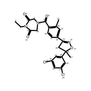 CCN1C(=O)CN(C(=O)c2ccc(C3=NOC(C)(c4cc(Cl)cc(Cl)c4)C3)cc2C)CC1=O